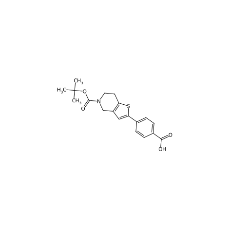 CC(C)(C)OC(=O)N1CCc2sc(-c3ccc(C(=O)O)cc3)cc2C1